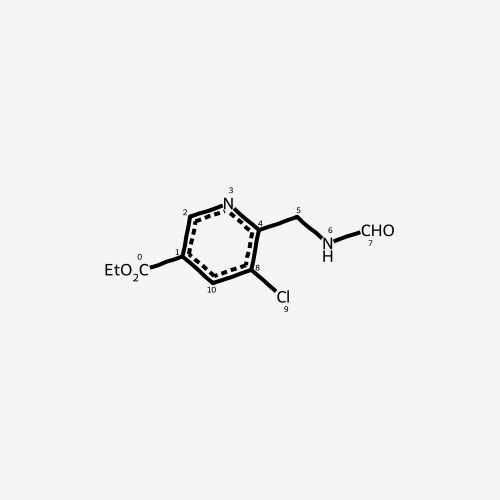 CCOC(=O)c1cnc(CNC=O)c(Cl)c1